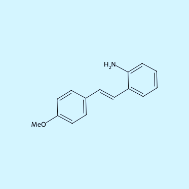 COc1ccc(C=Cc2ccccc2N)cc1